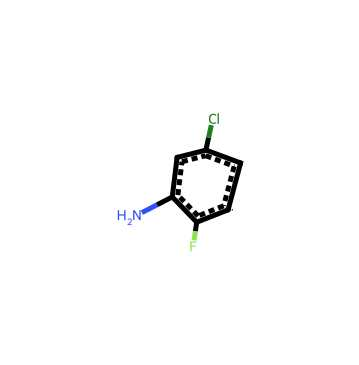 Nc1cc(Cl)c[c]c1F